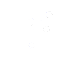 Cc1cn(C[C@@H]2CCCN(C(=O)[C@@H]3CN([C@H]4c5ccc(Cl)cc5OCc5cccnc54)CCN3C(=O)OC(C)(C)C)C2)cn1